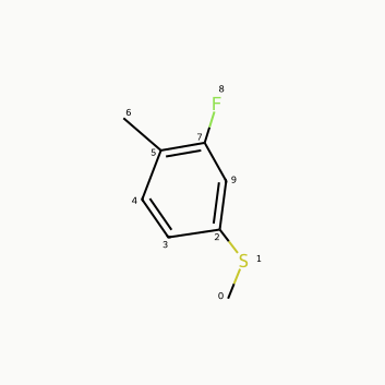 CSc1ccc(C)c(F)c1